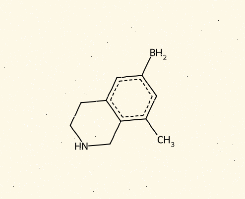 Bc1cc(C)c2c(c1)CCNC2